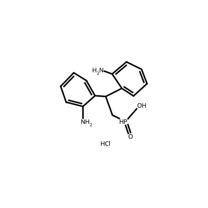 Cl.Nc1ccccc1C(C[PH](=O)O)c1ccccc1N